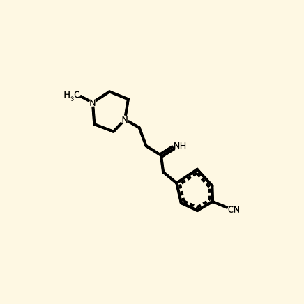 CN1CCN(CCC(=N)Cc2ccc(C#N)cc2)CC1